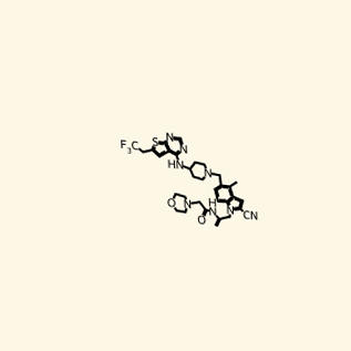 C=C(Cn1c(C#N)cc2c(C)c(CN3CCC(Nc4ncnc5sc(CC(F)(F)F)cc45)CC3)ccc21)NC(=O)CN1CCOCC1